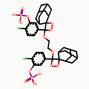 O=P(O)(O)Oc1cc(C2(OCCOC3(c4ccc(Cl)c(OP(=O)(O)O)c4)OOC34C3CC5CC(C3)CC4C5)OOC23C2CC4CC(C2)CC3C4)ccc1Cl